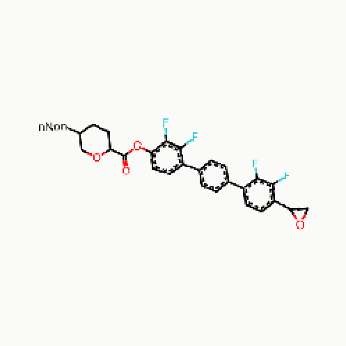 CCCCCCCCCC1CCC(C(=O)Oc2ccc(-c3ccc(-c4ccc(C5CO5)c(F)c4F)cc3)c(F)c2F)OC1